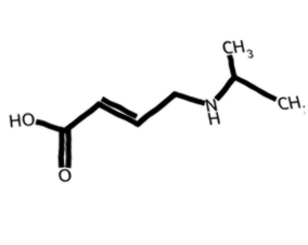 CC(C)NC/C=C/C(=O)O